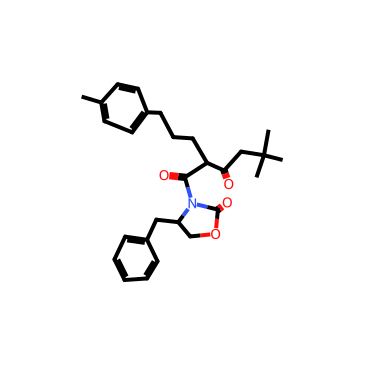 Cc1ccc(CCCC(C(=O)CC(C)(C)C)C(=O)N2C(=O)OCC2Cc2ccccc2)cc1